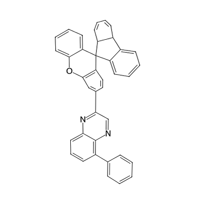 C1=CC2c3ccccc3C3(c4ccccc4Oc4cc(-c5cnc6c(-c7ccccc7)cccc6n5)ccc43)C2C=C1